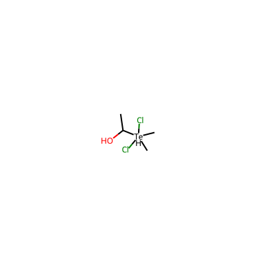 CC(O)[TeH](C)(C)(Cl)Cl